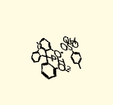 COc1ccccc1C(P)(c1ccccc1OC)c1ccccc1OC.Cc1ccc(S(=O)(=O)O)cc1